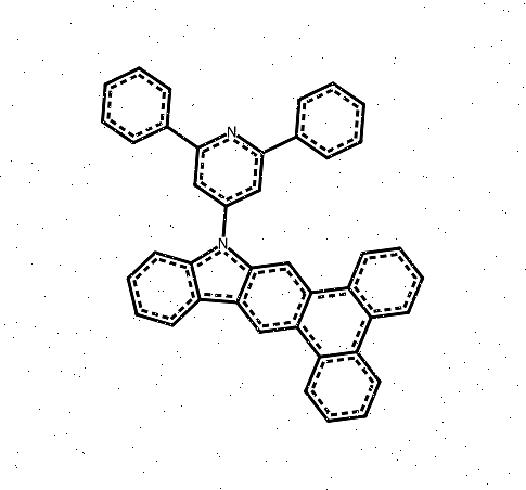 c1ccc(-c2cc(-n3c4ccccc4c4cc5c6ccccc6c6ccccc6c5cc43)cc(-c3ccccc3)n2)cc1